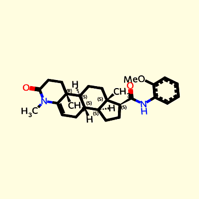 COc1ccccc1NC(=O)[C@H]1CC[C@H]2[C@@H]3CC=C4N(C)C(=O)CC[C@]4(C)[C@H]3CC[C@]12C